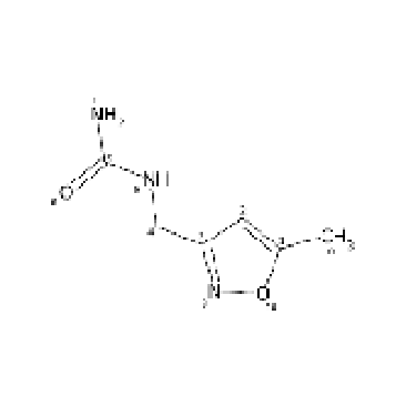 Cc1cc(CNC(N)=O)no1